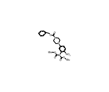 CC(C)(C)OC(=O)N(C(=O)OC(C)(C)C)c1cc(N2CCN(C(=O)OCc3ccccc3)CC2)ccc1[N+](=O)[O-]